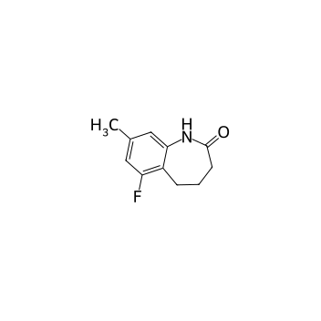 Cc1cc(F)c2c(c1)NC(=O)CCC2